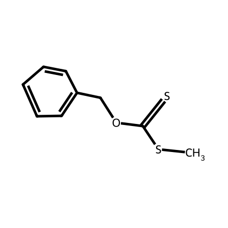 CSC(=S)OCc1ccccc1